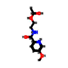 COc1ccc(C(=O)NCCOC(C)=O)nc1